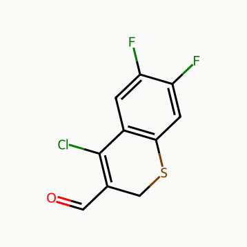 O=CC1=C(Cl)c2cc(F)c(F)cc2SC1